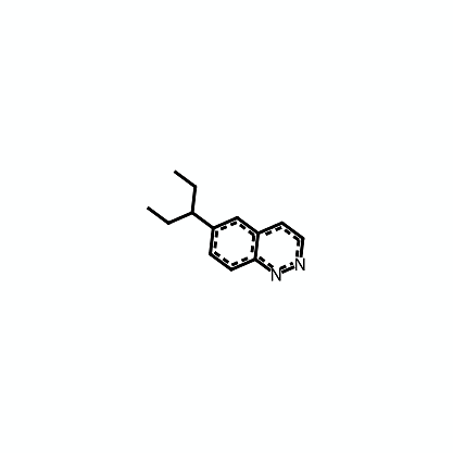 CCC(CC)c1ccc2nnccc2c1